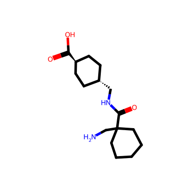 NCC1(C(=O)NC[C@H]2CC[C@H](C(=O)O)CC2)CCCCC1